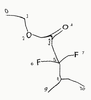 CCOC(=O)C(F)(F)C(C)C